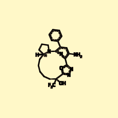 Nc1cc(-c2ccccc2)c2nc1-c1nnc(o1)C(O)(C(F)(F)F)CCCCC[C@@H]1CCCN21